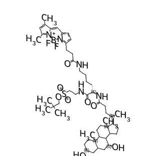 CC1=CC(C)=[N+]2C1=Cc1ccc(CCC(=O)NCCCC[C@H](NC(=O)CC[C@@H](C)C3CCC4C5C(CC[C@@]43C)[C@@]3(C)CC[C@@H](O)CC3C[C@@H]5O)C(=O)NCCS(=O)(=O)OCC(C)(C)C)n1[B-]2(F)F